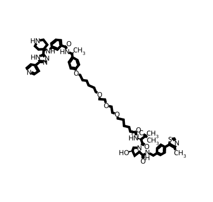 Cc1ncsc1-c1ccc(CNC(=O)C2C[C@@H](O)CN2C(=O)[C@@H](NC(=O)CCCCCOCCOCCOCCCCCCOc2ccc([C@@H](C)NC(=O)c3cccc(NC4(c5nnc(-c6ccncc6)[nH]5)CCNCC4)c3)cc2)C(C)(C)C)cc1